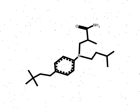 C[C](CN(CCC(C)C)c1ccc(CCC(C)(C)C)cc1)C(N)=O